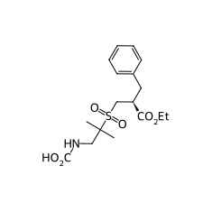 CCOC(=O)[C@H](Cc1ccccc1)CS(=O)(=O)C(C)(C)CNC(=O)O